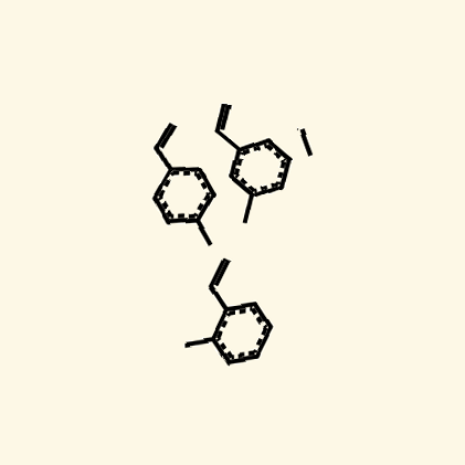 C=Cc1ccc(C)cc1.C=Cc1cccc(C)c1.C=Cc1ccccc1C.[CH2]C